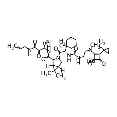 C=CCNC(=O)C(=O)C(CCC)NC(=O)[C@@H]1[C@@H]2[C@H](CN1C(=O)[C@@H](NC(=O)N[C@H](CN(C)c1c(C3(C)CC3)c(=O)c1=O)C(C)(C)C)C1(C)CCCCC1)C2(C)C